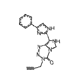 C#CCN1N=NC2=C(c3nc(-c4ccccc4)c[nH]3)NCN2C1=O